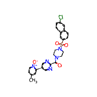 Cc1cc[n+]([O-])c(-c2cnc(C(=O)N3CCN(S(=O)(=O)c4ccc5cc(Cl)ccc5c4)CC3)nc2)c1